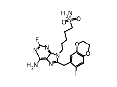 Nc1nc(F)nc2c1nc(Cc1cc3c(cc1I)OCCO3)n2CCCCCS(N)(=O)=O